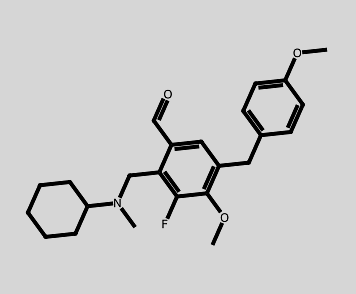 COc1ccc(Cc2cc(C=O)c(CN(C)C3CCCCC3)c(F)c2OC)cc1